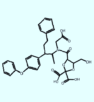 CC(C(CCc1ccccc1)c1ccc(Oc2ccccc2)cc1)N(CC(=O)O)C(=O)C1OC(C(=O)O)(C(=O)O)OC1CO